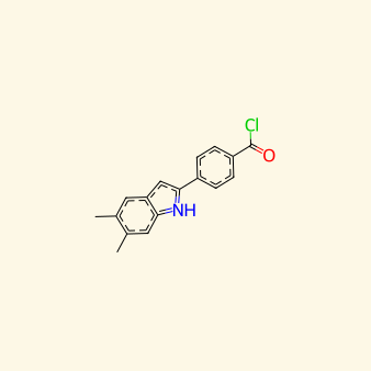 Cc1cc2cc(-c3ccc(C(=O)Cl)cc3)[nH]c2cc1C